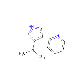 CN(C)c1cc[nH]c1.c1ccncc1